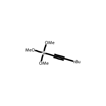 CCCCC#C[Si](OC)(OC)OC